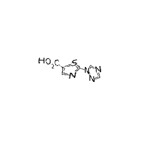 O=C(O)c1cnc(-n2cncn2)s1